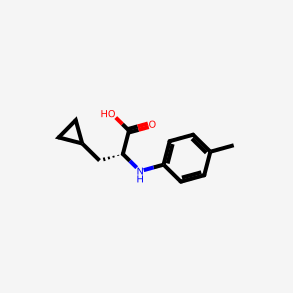 Cc1ccc(N[C@H](CC2CC2)C(=O)O)cc1